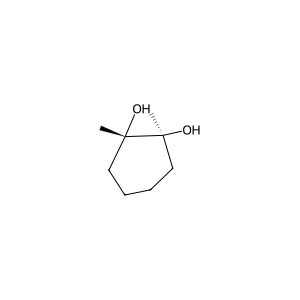 C[C@]1(O)CCCC[C@]1(C)O